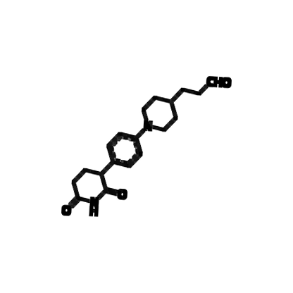 O=CCCC1CCN(c2ccc(C3CCC(=O)NC3=O)cc2)CC1